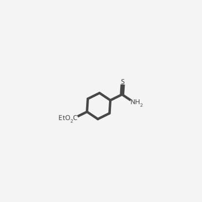 CCOC(=O)C1CCC(C(N)=S)CC1